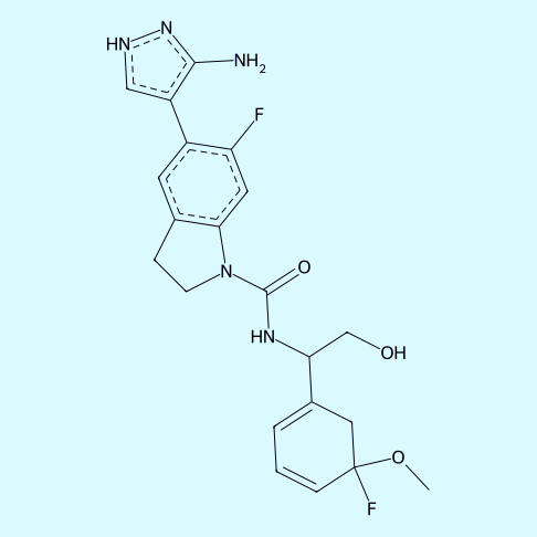 COC1(F)C=CC=C(C(CO)NC(=O)N2CCc3cc(-c4c[nH]nc4N)c(F)cc32)C1